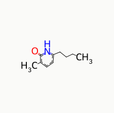 CCCCc1ccc(C)c(=O)[nH]1